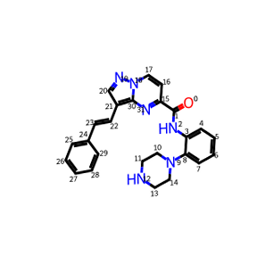 O=C(Nc1ccccc1N1CCNCC1)c1ccn2ncc(/C=C/c3ccccc3)c2n1